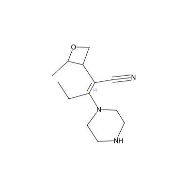 CC/C(=C(/C#N)C1COC1C)N1CCNCC1